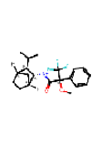 CO[C@](C(=O)N[C@@H]1[C@@H]2CC[C@@H](C2)[C@H]1C(C)C)(c1ccccc1)C(F)(F)F